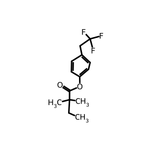 CCC(C)(C)C(=O)Oc1ccc(CC(F)(F)F)cc1